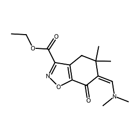 CCOC(=O)c1noc2c1CC(C)(C)/C(=C/N(C)C)C2=O